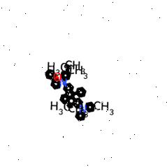 Cc1ccc(N(c2ccccc2)c2ccc3c(c2)C(C)(C)c2cccc4c2c-3c(-c2ccccc2)c2ccc(N(c3ccc([Si](C)(C)C)cc3)c3cccc5c3oc3ccccc35)cc24)cc1